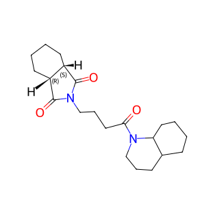 O=C1[C@H]2CCCC[C@H]2C(=O)N1CCCC(=O)N1CCCC2CCCCC21